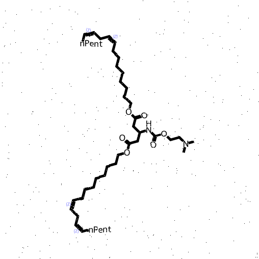 CCCCC/C=C\C/C=C\CCCCCCCCOC(=O)CC(CC(=O)OCCCCCCCC/C=C\C/C=C\CCCCC)NC(=O)OCCN(C)C